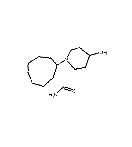 NC=S.OC1CCN(C2CCCCCCC2)CC1